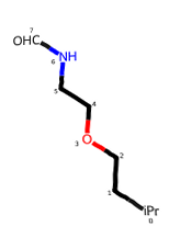 CC(C)CCOCCNC=O